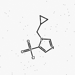 O=S(=O)(Cl)c1cncn1CC1CC1